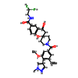 CCOc1cc(C(=O)N2CCC3(CC2)CC(=O)c2cc(C(=O)NCC(F)F)ccc2O3)cc(OC)c1-c1cnn(C)c1